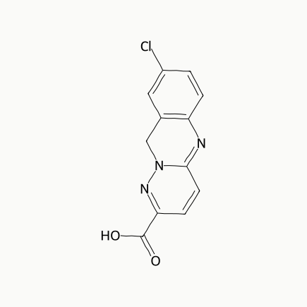 O=C(O)C1=NN2Cc3cc(Cl)ccc3N=C2C=C1